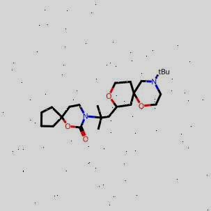 CC(C)(C)N1CCOC2(CCOC(CC(C)(C)N3CCC4(CCCC4)OC3=O)C2)C1